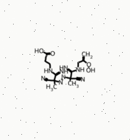 C=C(CNC(=N)C(C)(C#N)N=NC(C)(C#N)C(=N)NCCC(=O)O)OO